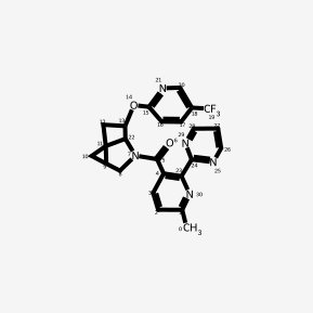 Cc1ccc(C(=O)N2CC3CC34CC(Oc3ccc(C(F)(F)F)cn3)C24)c(-c2ncccn2)n1